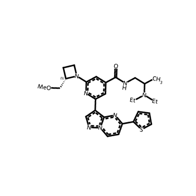 CCN(CC)C(C)CNC(=O)c1cc(-c2cnn3ccc(-c4cccs4)nc23)nc(N2CC[C@H]2COC)c1